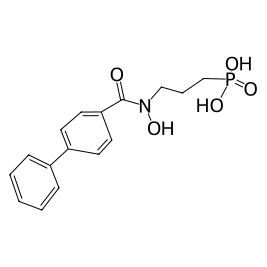 O=C(c1ccc(-c2ccccc2)cc1)N(O)CCCP(=O)(O)O